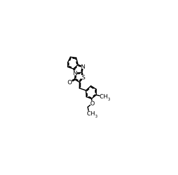 CCOc1cc(/C=c2\sc3nc4ccccc4n3c2=O)ccc1C